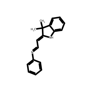 CC1(C)/C(=C/C=N/c2ccccc2)Nc2ccccc21